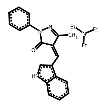 CC1=NN(c2ccccc2)C(=O)C1=Cc1c[nH]c2ccccc12.CCN(CC)CC